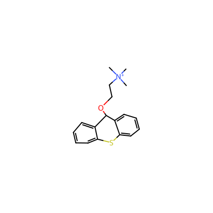 C[N+](C)(C)CCOC1c2ccccc2Sc2ccccc21